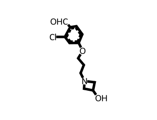 O=Cc1ccc(OCCCN2CC(O)C2)cc1Cl